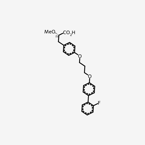 CO[C@@H](Cc1ccc(OCCCOc2ccc(-c3ccccc3F)cc2)cc1)C(=O)O